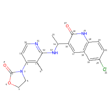 Cc1c(N2CCOC2=O)ccnc1NC(C)c1cc2cc(Cl)ccc2[nH]c1=O